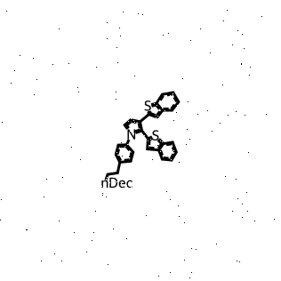 CCCCCCCCCCCCc1ccc(-n2ccc(-c3cc4ccccc4s3)c2-c2cc3ccccc3s2)cc1